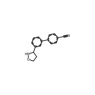 N#Cc1ccc(-c2cccc(C3CCON3)c2)cc1